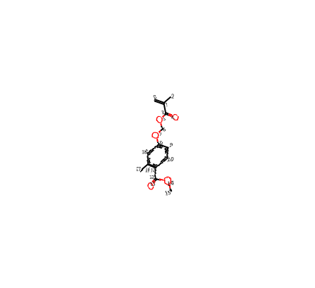 C=C(C)C(=O)OCOc1ccc(C(=O)OC)c(C)c1